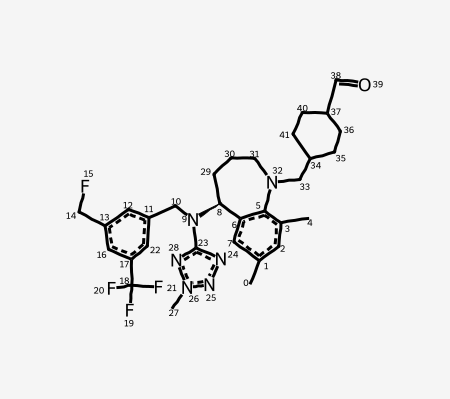 Cc1cc(C)c2c(c1)[C@@H](N(Cc1cc(CF)cc(C(F)(F)F)c1)c1nnn(C)n1)CCCN2CC1CCC(C=O)CC1